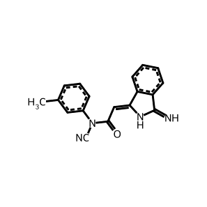 Cc1cccc(N(C#N)C(=O)C=C2NC(=N)c3ccccc32)c1